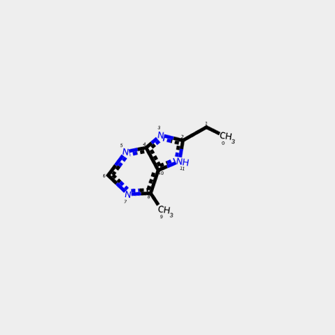 CCc1nc2ncnc(C)c2[nH]1